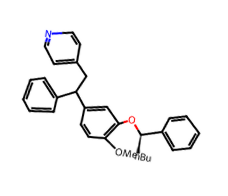 CCCC[C@@H](Oc1cc(C(Cc2ccncc2)c2ccccc2)ccc1OC)c1ccccc1